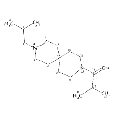 CC(C)CN1CCC2(CC1)CCN(C(=O)C(C)C)CC2